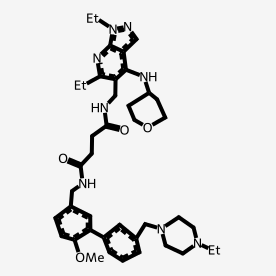 CCc1nc2c(cnn2CC)c(NC2CCOCC2)c1CNC(=O)CCC(=O)NCc1ccc(OC)c(-c2cccc(CN3CCN(CC)CC3)c2)c1